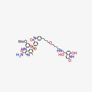 COc1cccc(Nc2c(C(N)=O)cnc3c(C)cc(S(=O)(=O)c4cccc(C(=O)N(C)c5ccc(CCCCOCCCCCCNCC(O)c6ccc(O)c7[nH]c(=O)ccc67)cc5)c4)cc23)c1